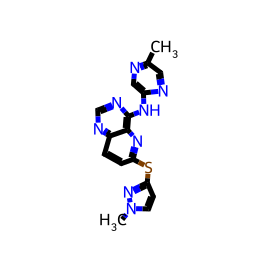 Cc1cnc(Nc2ncnc3ccc(Sc4ccn(C)n4)nc23)cn1